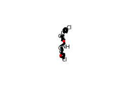 O=C(COc1ccc(Cl)cc1)NCCC1CN(C(=O)COc2ccc(Cl)cc2)C1